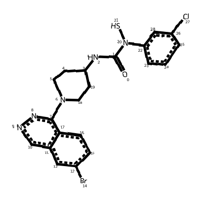 O=C(NC1CCN(c2nncc3cc(Br)ccc23)CC1)N(S)c1cccc(Cl)c1